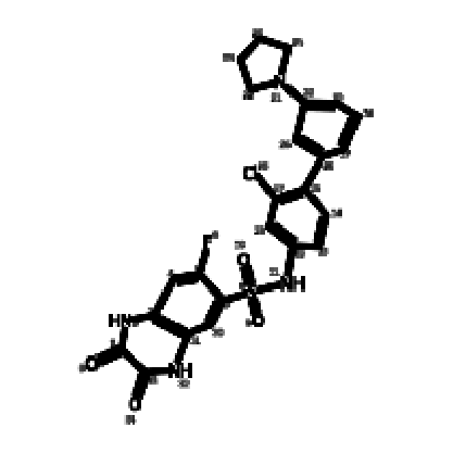 O=c1[nH]c2cc(F)c(S(=O)(=O)Nc3ccc(-c4cccc(N5CCCC5)c4)c(Cl)c3)cc2[nH]c1=O